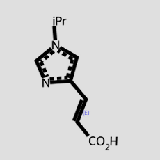 CC(C)n1cnc(/C=C/C(=O)O)c1